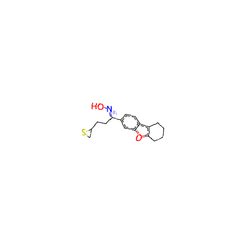 O/N=C(\CCC1CS1)c1ccc2c3c(oc2c1)CCCC3